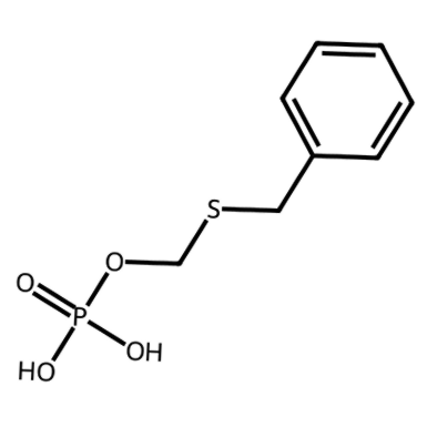 O=P(O)(O)OCSCc1ccccc1